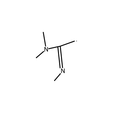 [CH2]C(=NC)N(C)C